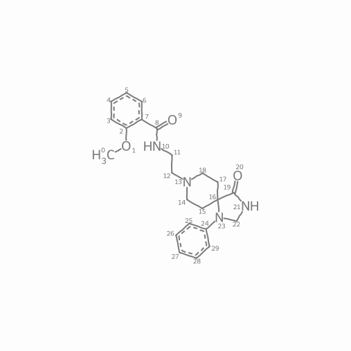 COc1ccccc1C(=O)NCCN1CCC2(CC1)C(=O)NCN2c1ccccc1